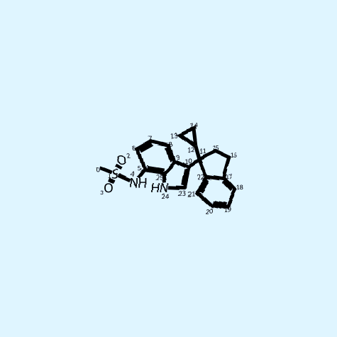 CS(=O)(=O)Nc1cccc2c(C3(C4CC4)CCc4ccccc43)c[nH]c12